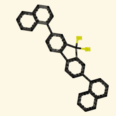 SC1(S)c2cc(-c3cccc4ccccc34)ccc2-c2ccc(-c3cccc4ccccc34)cc21